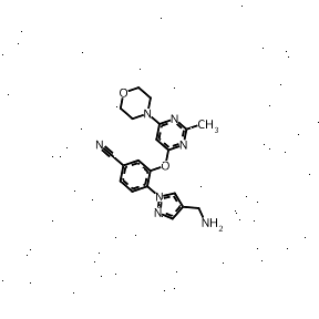 Cc1nc(Oc2cc(C#N)ccc2-n2cc(CN)cn2)cc(N2CCOCC2)n1